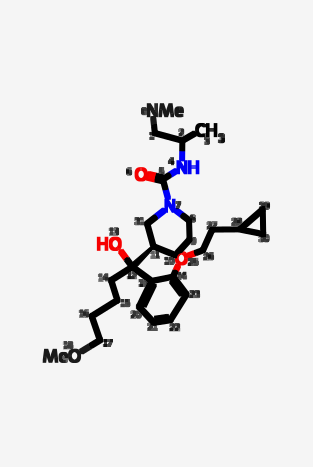 CNCC(C)NC(=O)N1CCC[C@@H](C(O)(CCCCOC)c2ccccc2OCCC2CC2)C1